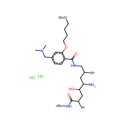 CCCCNC(=O)C(CC(O)C(N)CC(CNC(=O)c1ccc(CN(C)C)cc1OCCCCOC)C(C)C)C(C)C.Cl.Cl